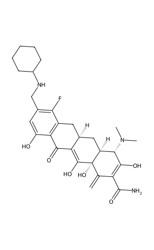 C=C1C(C(N)=O)=C(O)[C@@H](N(C)C)[C@@H]2C[C@@H]3Cc4c(F)c(CNC5CCCCC5)cc(O)c4C(=O)C3=C(O)[C@]12O